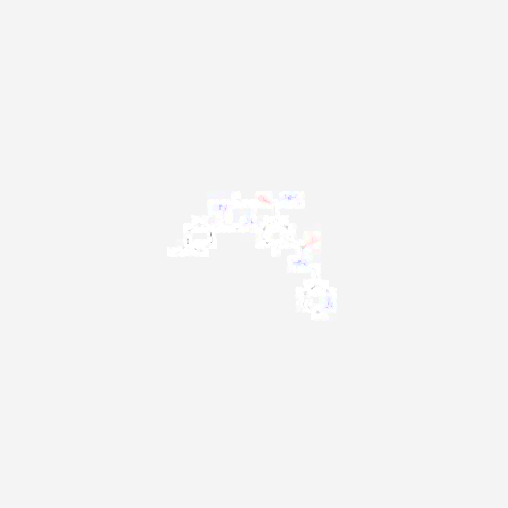 Cc1ccc(C2CN(c3ccc(C(=O)NCc4cccnc4)cc3C(N)=O)CCN2)cc1